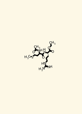 CCOC(=O)[C@H](CCCNC(=N)N)NC(=O)C(CCSC)NC(C)=O